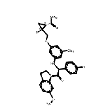 COC(=O)[C@H]1C[C@@]1(F)COc1cc(NC(C(=O)N2CCc3ccc(OC(F)(F)F)cc32)c2ccc(Cl)cc2)cc(OC)c1